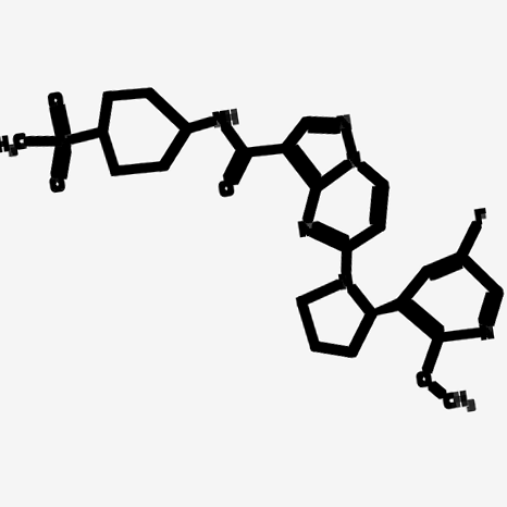 COc1ncc(F)cc1[C@H]1CCCN1c1ccn2ncc(C(=O)NC3CCC(S(C)(=O)=O)CC3)c2n1